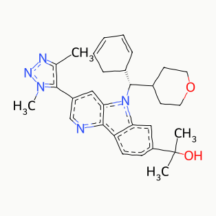 Cc1nnn(C)c1-c1cnc2c3ccc(C(C)(C)O)cc3n([C@H](C3C=CC=CC3)C3CCOCC3)c2c1